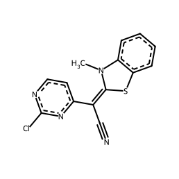 CN1/C(=C(/C#N)c2ccnc(Cl)n2)Sc2ccccc21